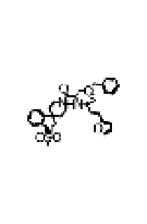 CS(=O)(=O)N1CC2(CCN(C(=O)[C@@H](COCc3ccccc3)NC(=S)CCc3ccco3)CC2)c2ccccc21